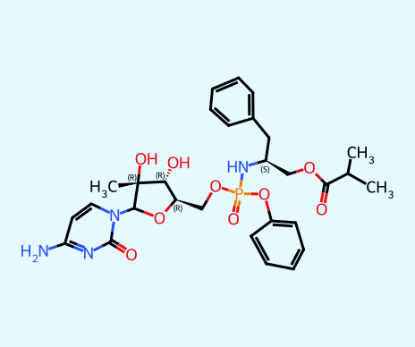 CC(C)C(=O)OC[C@H](Cc1ccccc1)NP(=O)(OC[C@H]1OC(n2ccc(N)nc2=O)[C@](C)(O)[C@@H]1O)Oc1ccccc1